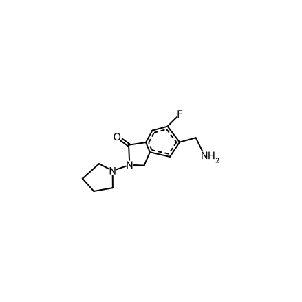 NCc1cc2c(cc1F)C(=O)N(N1CCCC1)C2